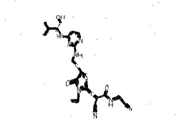 CCn1c(=C=C(C#N)C(=O)NCC#N)sc(=C=CNc2nccc(N[C@@H](CO)C(C)C)n2)c1=O